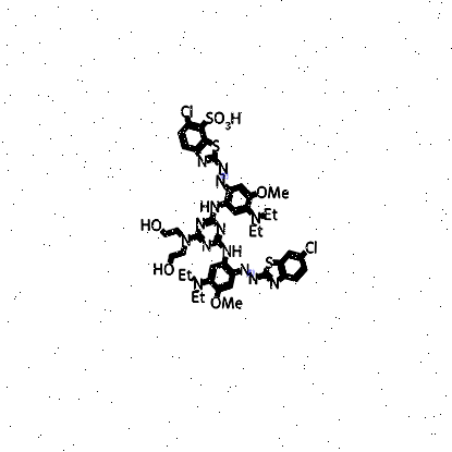 CCN(CC)c1cc(Nc2nc(Nc3cc(N(CC)CC)c(OC)cc3/N=N/c3nc4ccc(Cl)c(S(=O)(=O)O)c4s3)nc(N(CCO)CCO)n2)c(/N=N/c2nc3ccc(Cl)cc3s2)cc1OC